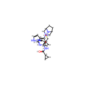 N#CC1(CSN2C3CCC2CN(c2cc(NC(=O)C4CC4)nc4[nH]ccc24)C3)CC1